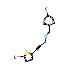 Clc1ccc(C=NCC#Cc2ccc(Br)s2)cc1